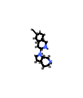 Cc1ccc2cnc(-n3ccc4ccncc43)cc2c1